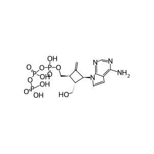 C=C1[C@@H](n2ccc3c(N)ncnc32)[C@H](CO)[C@H]1COP(=O)(O)OP(=O)(O)OP(=O)(O)O